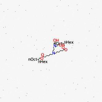 CCCCCCCCC(CCCCCC)COC(=O)CCCCCN(CCCCCC(=O)OCC(CCCCCC)CCCCCCCC)CCCN(CCO)CCO